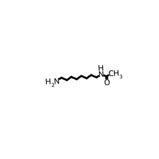 CC(=O)NCCCCCCCCN